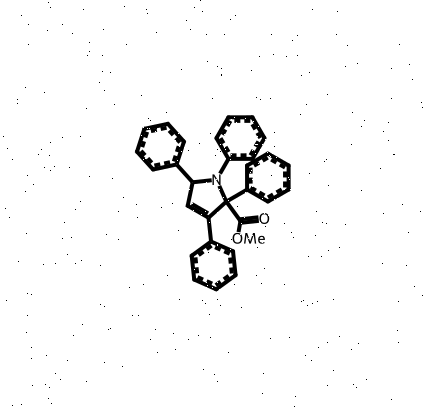 COC(=O)C1(c2ccccc2)C(c2ccccc2)=CC(c2ccccc2)N1c1ccccc1